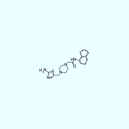 Nc1ncc(CN2CCN(CC(=O)Nc3cccc4ccccc34)CC2)s1